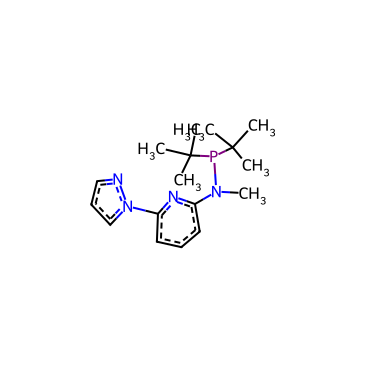 CN(c1cccc(-n2cccn2)n1)P(C(C)(C)C)C(C)(C)C